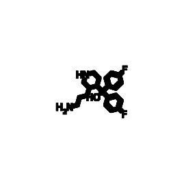 NCCCC1CNCCC1C(O)(c1ccc(F)cc1)c1ccc(F)cc1